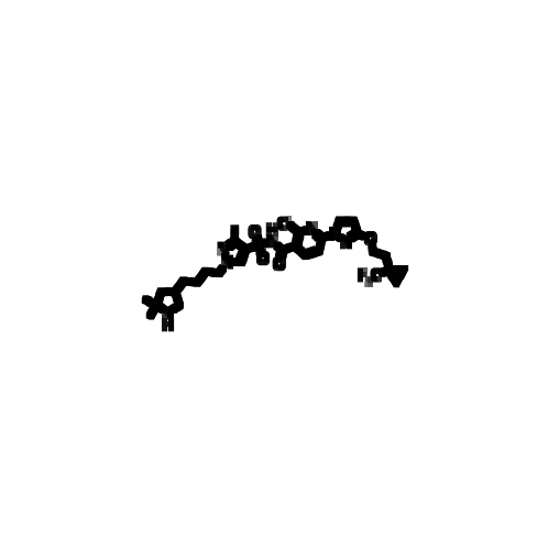 Cc1nn(CCCCC2CNC(C)(C)C2)cc1S(=O)(=O)NC(=O)c1ccc(-n2ccc(OCCC3(C(F)(F)F)CC3)n2)nc1Cl